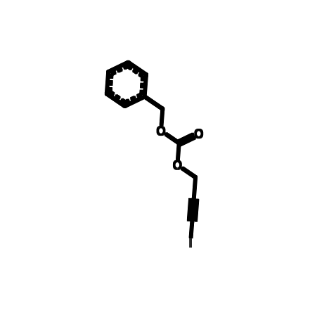 O=C(OCC#CI)OCc1ccccc1